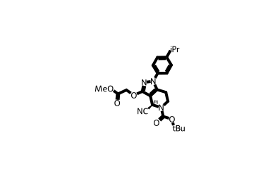 COC(=O)COc1nn(-c2ccc(C(C)C)cc2)c2c1[C@H](C#N)N(C(=O)OC(C)(C)C)CC2